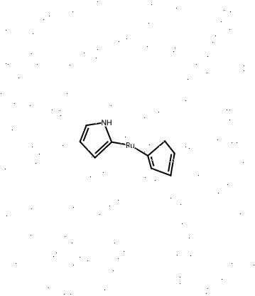 C1=CC[C]([Ru][c]2ccc[nH]2)=C1